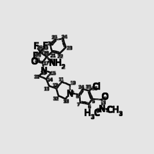 CN(C)C(=O)c1ccc(N2CCC(CC3CN(C(=O)C(N)(c4ccccc4)C(F)(F)F)C3)CC2)cc1Cl